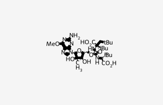 CC[C@@H](C)[C@H](NP(=O)(N[C@](CC(C)(C)C)(C(=O)O)[C@H](C)CC)OC[C@H]1O[C@@H](n2cnc3c(OC)nc(N)nc32)[C@](C)(O)[C@@H]1O)C(=O)O